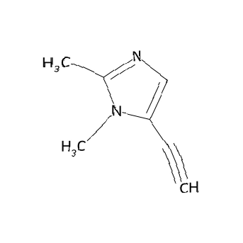 C#Cc1cnc(C)n1C